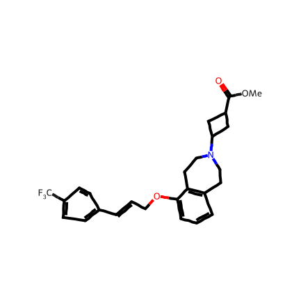 COC(=O)C1CC(N2CCc3cccc(OC/C=C/c4ccc(C(F)(F)F)cc4)c3CC2)C1